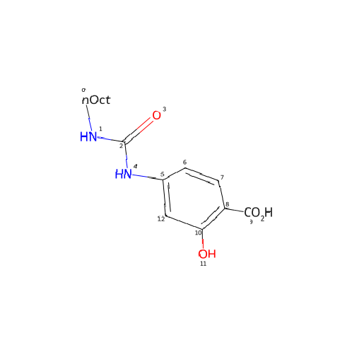 CCCCCCCCNC(=O)Nc1ccc(C(=O)O)c(O)c1